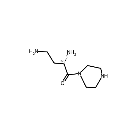 NCC[C@H](N)C(=O)N1CCNCC1